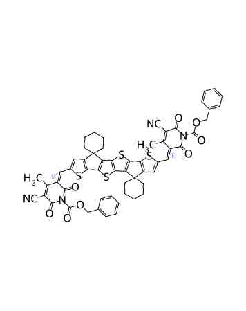 CC1=C(C#N)C(=O)N(C(=O)OCc2ccccc2)C(=O)/C1=C\c1cc2c(s1)-c1sc3c4c(sc3c1C21CCCCC1)-c1sc(/C=C2/C(=O)N(C(=O)OCc3ccccc3)C(=O)C(C#N)=C2C)cc1C41CCCCC1